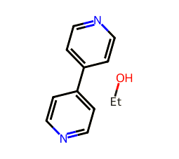 CCO.c1cc(-c2ccncc2)ccn1